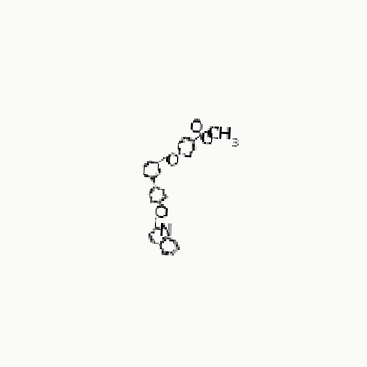 COC(=O)c1ccc(OCc2cccc(-c3ccc(OCc4ccc5ccccc5n4)cc3)c2)cc1